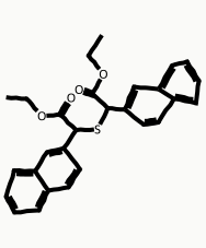 CCOC(=O)C(SC(C(=O)OCC)c1ccc2ccccc2c1)c1ccc2ccccc2c1